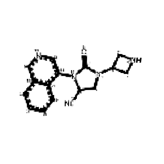 N#CC1CN(C2CNC2)C(=O)N1c1cncc2ccccc12